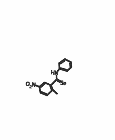 Cc1ccc([N+](=O)[O-])cc1C(=[Se])Nc1ccccc1